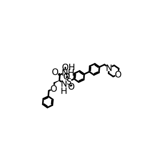 O=C(NO)[C@H](COCc1ccccc1)NS(=O)(=O)c1ccc(-c2ccc(CN3CCOCC3)cc2)cc1